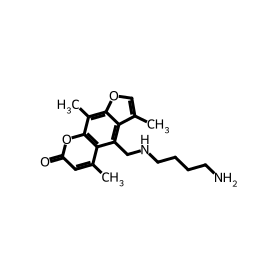 Cc1c2occ(C)c2c(CNCCCCN)c2c(C)cc(=O)oc12